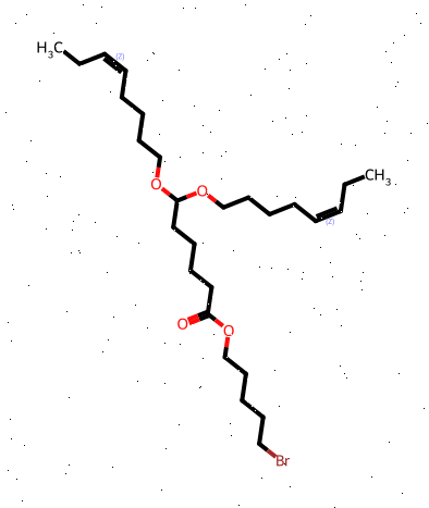 CC/C=C\CCCCOC(CCCCC(=O)OCCCCCBr)OCCCC/C=C\CC